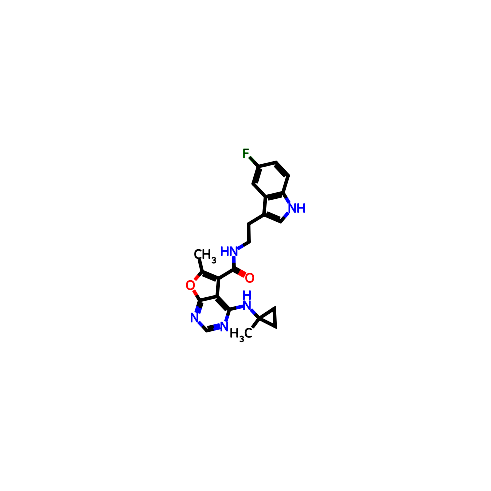 Cc1oc2ncnc(NC3(C)CC3)c2c1C(=O)NCCc1c[nH]c2ccc(F)cc12